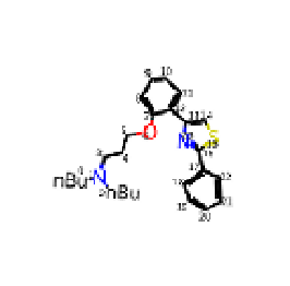 CCCCN(CCCC)CCCOc1ccccc1-c1csc(-c2ccccc2)n1